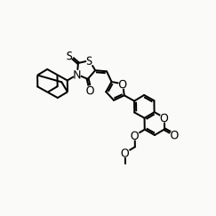 COCOc1cc(=O)oc2ccc(-c3ccc(/C=C4/SC(=S)N(C5C6CC7CC(C6)CC5C7)C4=O)o3)cc12